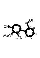 CNc1c(N=O)ccc(-c2ccccc2CO)c1C#N